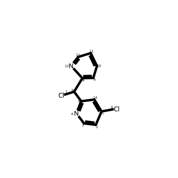 Clc1ccnc(C(Cl)c2ccccn2)c1